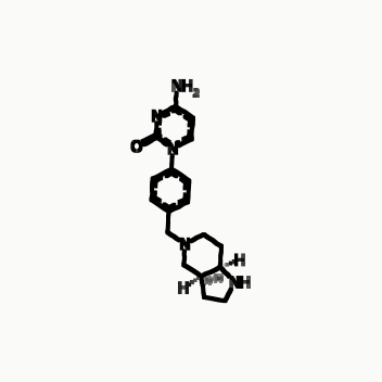 Nc1ccn(-c2ccc(CN3CC[C@H]4NCC[C@H]4C3)cc2)c(=O)n1